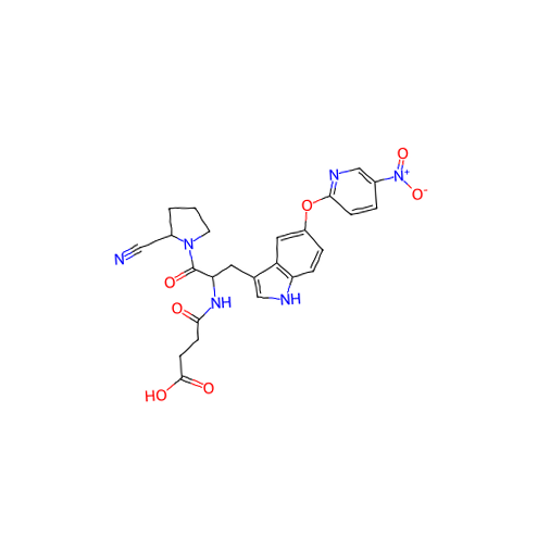 N#CC1CCCN1C(=O)C(Cc1c[nH]c2ccc(Oc3ccc([N+](=O)[O-])cn3)cc12)NC(=O)CCC(=O)O